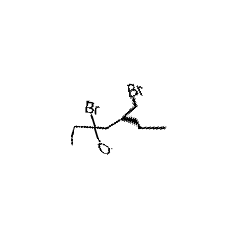 CCC(Br)C([O])(Br)CC